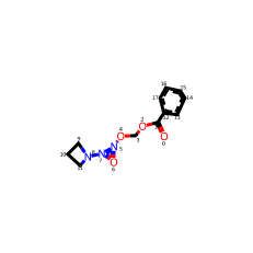 O=C(OCOn1on1N1CCC1)c1ccccc1